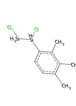 Cc1ccc([SiH](Cl)[SiH2]Cl)c(C)c1C